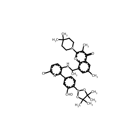 Cc1cc([C@@H](C)Nc2ccc(Cl)nc2-c2ccc(B3OC(C)(C)C(C)(C)O3)c(C=O)c2)c2oc(N3CCC(C)(C)CC3)c(C)c(=O)c2c1